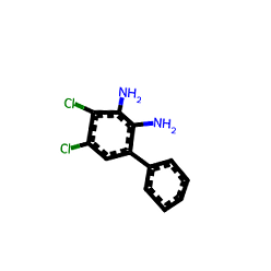 Nc1c(-c2ccccc2)cc(Cl)c(Cl)c1N